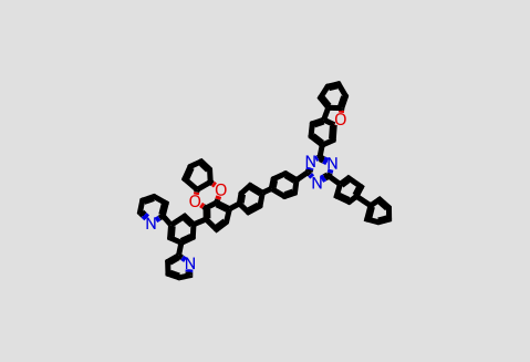 C1=CC2Oc3c(-c4ccc(-c5ccc(-c6nc(-c7ccc(-c8ccccc8)cc7)nc(-c7ccc8c(c7)oc7ccccc78)n6)cc5)cc4)ccc(-c4cc(-c5ccccn5)cc(-c5ccccn5)c4)c3OC2C=C1